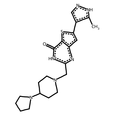 Cc1[nH]ncc1-c1cc2nc(CN3CCC(N4CCCC4)CC3)[nH]c(=O)c2s1